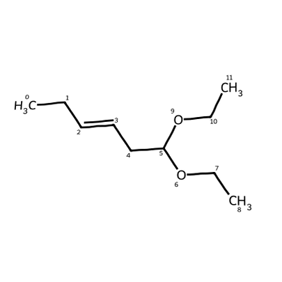 CCC=CCC(OCC)OCC